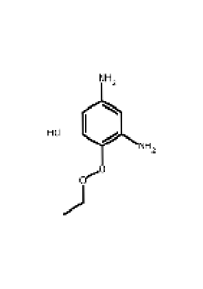 CCOOc1ccc(N)cc1N.Cl